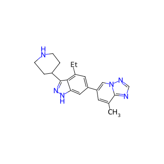 CCc1cc(-c2cc(C)c3ncnn3c2)cc2[nH]nc(C3CCNCC3)c12